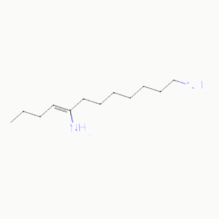 CCCC=C(N)CCCCCCCN